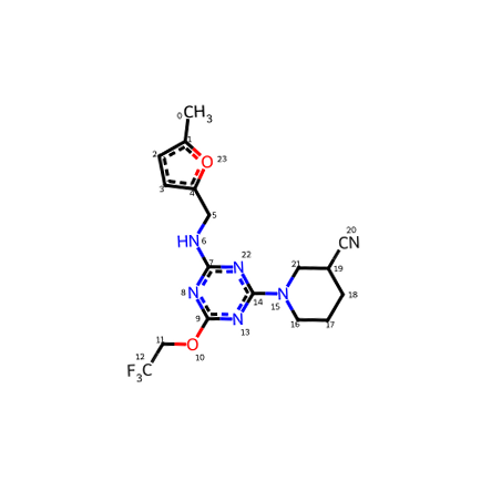 Cc1ccc(CNc2nc(OCC(F)(F)F)nc(N3CCCC(C#N)C3)n2)o1